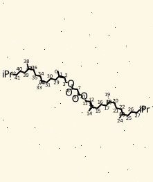 CC(=CCOC(=O)CC(=O)OCC=C(C)CCC[C@H](C)CCC[C@H](C)CCCC(C)C)CCC[C@H](C)CCC[C@H](C)CCCC(C)C